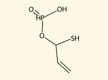 C=CC(S)O[PH](=O)O